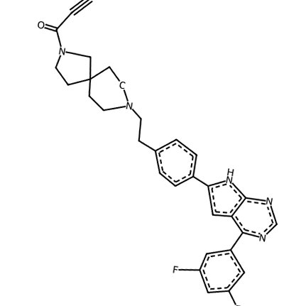 C#CC(=O)N1CCC2(CCN(CCc3ccc(-c4cc5c(-c6cc(F)cc(F)c6)ncnc5[nH]4)cc3)CC2)C1